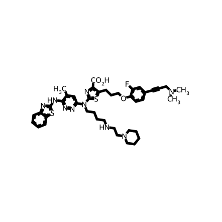 Cc1cc(N(CCCCNCCN2CCCCC2)c2nc(C(=O)O)c(CCCOc3ccc(C#CCN(C)C)cc3F)s2)nnc1Nc1nc2ccccc2s1